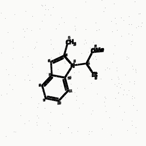 CCC(OC)n1c(C)cc2ccccc21